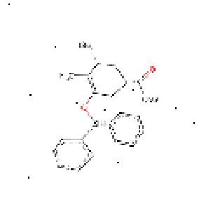 COC(=O)[C@@H]1CC(O[SiH](c2ccccc2)c2ccccc2)=C(C)[C@H](C(C)(C)C)C1